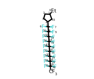 [CH2]CC1C[CH]C(C(F)(F)C(F)(F)C(F)(F)C(F)(F)C(F)(F)C(F)(F)C(F)(F)C(F)(F)C(F)(F)C(F)(F)F)C1